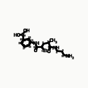 CCC(CC(C)C(=O)NCCCN)C(=O)Nc1cccc(B(O)O)c1